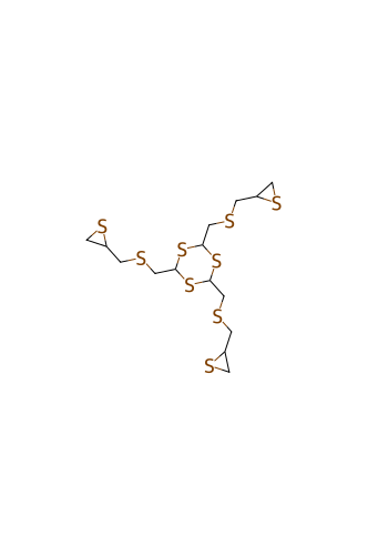 C(SCC1SC(CSCC2CS2)SC(CSCC2CS2)S1)C1CS1